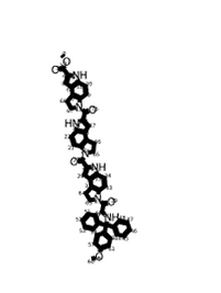 COC(=O)c1cc2c3c(ccc2[nH]1)N(C(=O)c1cc2c4c(ccc2[nH]1)N(C(=O)c1cc2c5c(ccc2[nH]1)N(C(=O)CNC(c1ccccc1)(c1ccccc1)c1ccc(OC)cc1)CC5)CC4)CC3